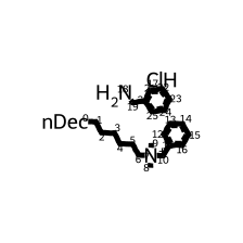 CCCCCCCCCCCCCCCC[N+](C)(C)Cc1ccccc1.Cl.NCc1ccccc1